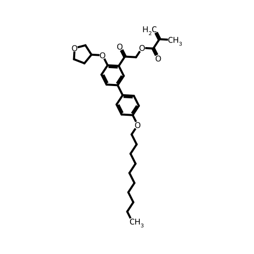 C=C(C)C(=O)OCC(=O)c1cc(-c2ccc(OCCCCCCCCCC)cc2)ccc1OC1CCOC1